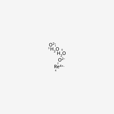 O.O.[O-2].[O-2].[Re+4]